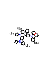 CC(C)(C)c1ccc(N2c3cc4c(cc3B3c5ccc(N(c6ccccc6)c6ccc(C(C)(C)C)cc6-c6ccccc6)cc5C5(CCCCC5)c5cc(C(C)(C)C)cc2c53)c2cc(C(C)(C)C)ccc2n4-c2ccccc2)cc1